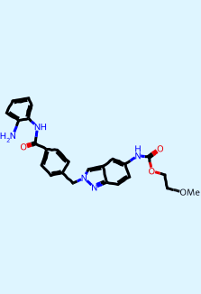 COCCOC(=O)Nc1ccc2nn(Cc3ccc(C(=O)Nc4ccccc4N)cc3)cc2c1